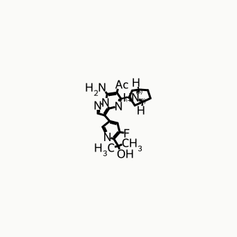 CC(=O)c1c([C@@H]2C[C@H]3CC[C@@H](C2)N3)nc2c(-c3cnc(C(C)(C)O)c(F)c3)cnn2c1N